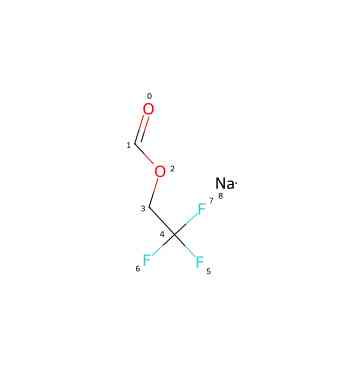 O=COCC(F)(F)F.[Na]